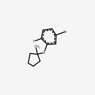 CC1(Oc2cc(Br)ccc2F)CCCC1